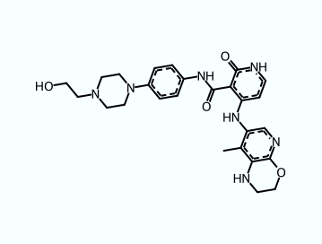 Cc1c(Nc2cc[nH]c(=O)c2C(=O)Nc2ccc(N3CCN(CCO)CC3)cc2)cnc2c1NCCO2